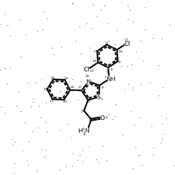 NC(=O)Cc1sc(Nc2cc(Cl)ccc2Cl)nc1-c1ccccc1